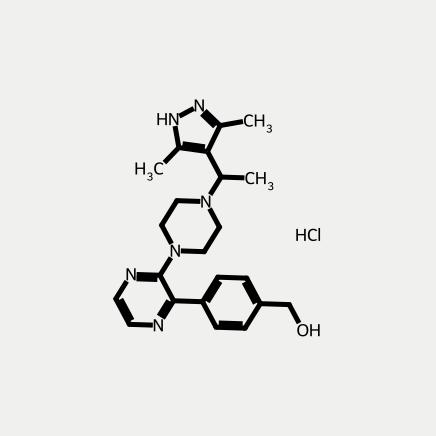 Cc1n[nH]c(C)c1C(C)N1CCN(c2nccnc2-c2ccc(CO)cc2)CC1.Cl